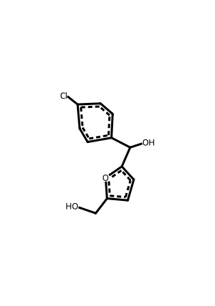 OCc1ccc(C(O)c2ccc(Cl)cc2)o1